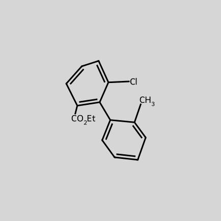 CCOC(=O)c1cccc(Cl)c1-c1ccccc1C